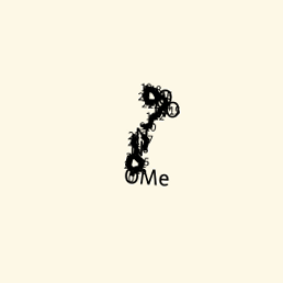 COc1ccc(N2CCN(CCCCn3c(=O)oc4ccccc43)CC2)cc1